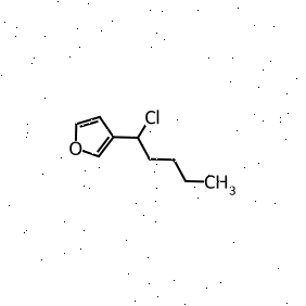 CCCCC(Cl)c1ccoc1